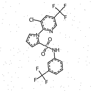 O=S(=O)(Nc1cccc(C(F)(F)F)c1)c1cccn1-c1ncc(C(F)(F)F)cc1Cl